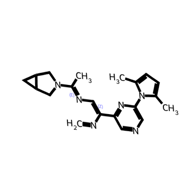 C=N/C(=C\N=C(/C)N1CC2CC2C1)c1cncc(-n2c(C)ccc2C)n1